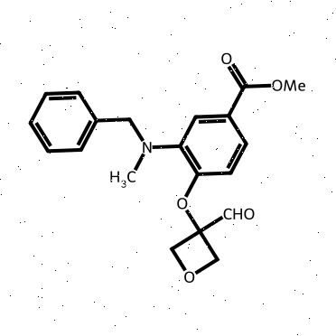 COC(=O)c1ccc(OC2(C=O)COC2)c(N(C)Cc2ccccc2)c1